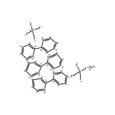 F[B-](F)(F)F.F[B-](F)(F)F.[Fe+2].c1ccc(-c2ccccn2)nc1.c1ccc(-c2ccccn2)nc1.c1ccc(-c2ccccn2)nc1